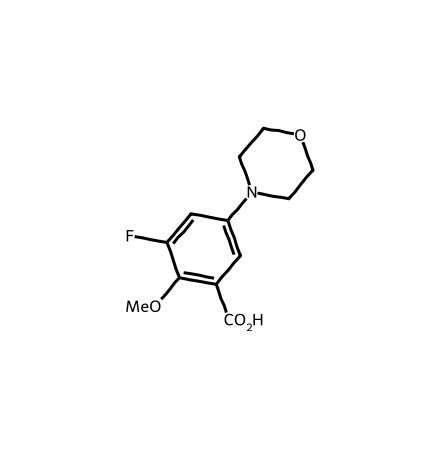 COc1c(F)cc(N2CCOCC2)cc1C(=O)O